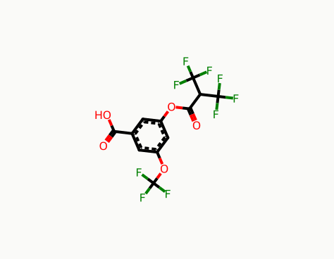 O=C(O)c1cc(OC(=O)C(C(F)(F)F)C(F)(F)F)cc(OC(F)(F)F)c1